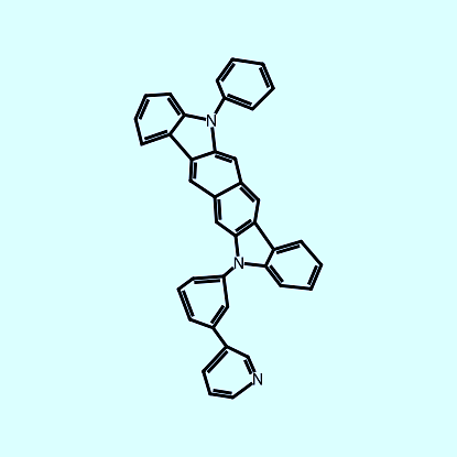 c1ccc(-n2c3ccccc3c3cc4cc5c(cc4cc32)c2ccccc2n5-c2cccc(-c3cccnc3)c2)cc1